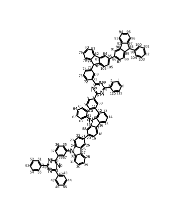 c1ccc(-c2nc(-c3cccc(-c4cccc5c6ccc(-c7ccc8c(c7)c7ccccc7n8-c7cccc(-c8nc(-c9ccccc9)nc(-c9ccccc9)n8)c7)cc6n(-c6ccccc6)c45)c3)nc(-c3cccc(C4c5ccccc5-c5cc(-c6ccc7c(c6)-c6ccccc6C7c6ccccc6)ccc54)c3)n2)cc1